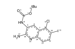 CC(C)(C)OC(=O)Nc1cc2c(Cl)c(I)ccc2nc1N